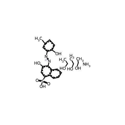 CCO.CCO.CCO.Cc1ccc(O)c(/N=N/c2c(O)cc(S(=O)(=O)O)c3ccccc23)c1.N